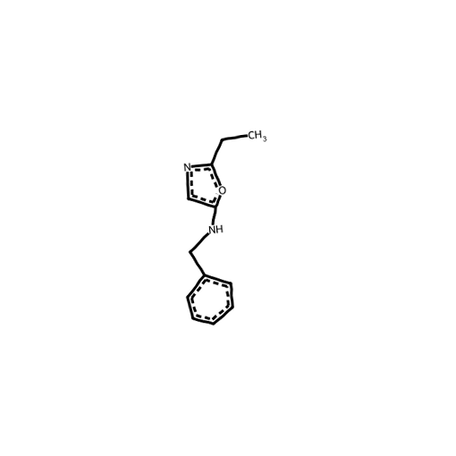 CCc1ncc(NCc2ccccc2)o1